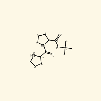 CC(C)(C)OC(=O)[C@@H]1CCCN1C(=O)C1CCCN1